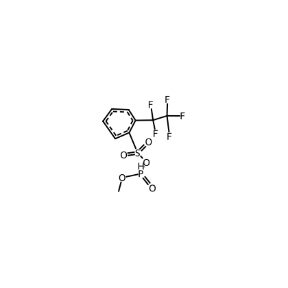 CO[PH](=O)OS(=O)(=O)c1ccccc1C(F)(F)C(F)(F)F